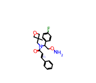 CC1(CN(C(=O)/C=C/c2ccccc2)C(CON)c2ccc(F)cc2)COC1